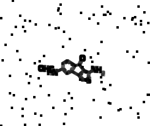 Nc1scc2c1C(=O)c1ccc(NC=O)cc1-2